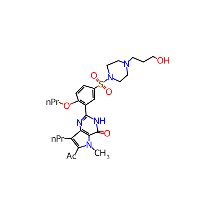 CCCOc1ccc(S(=O)(=O)N2CCN(CCCO)CC2)cc1-c1nc2c(CCC)c(C(C)=O)n(C)c2c(=O)[nH]1